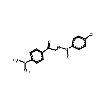 CN(C)c1ccc(C(=O)CN[S+]([O-])c2ccc(Cl)cc2)cc1